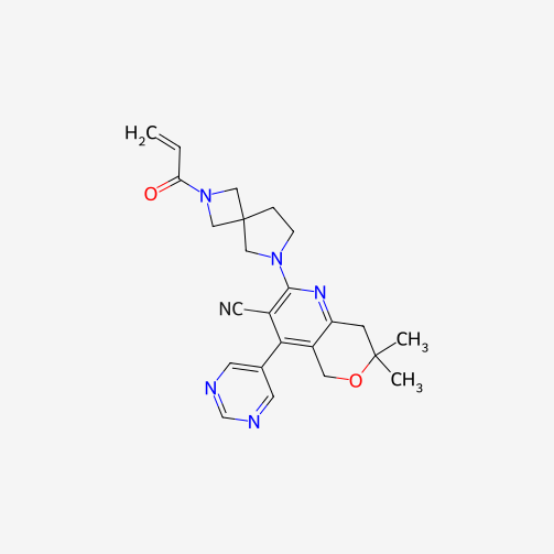 C=CC(=O)N1CC2(CCN(c3nc4c(c(-c5cncnc5)c3C#N)COC(C)(C)C4)C2)C1